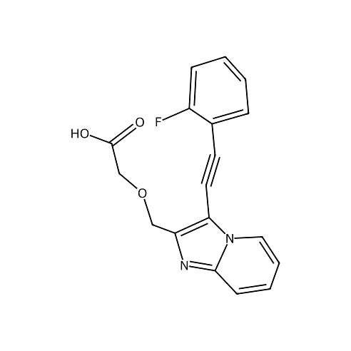 O=C(O)COCc1nc2ccccn2c1C#Cc1ccccc1F